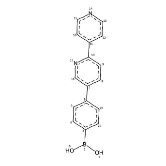 OB(O)c1ccc(-c2ccc(-c3ccncc3)nc2)cc1